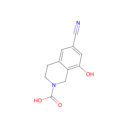 N#Cc1cc(O)c2c(c1)CCN(C(=O)O)C2